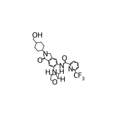 O=C(Nc1cc2c(cc1N1C[C@H]3C[C@@H]1CO3)C(=O)N(C1CCC(CO)CC1)C2)c1cccc(C(F)(F)F)n1